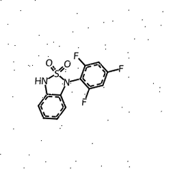 O=S1(=O)Nc2ccccc2N1c1c(F)cc(F)cc1F